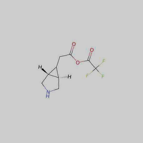 O=C(CC1[C@H]2CNC[C@H]12)OC(=O)C(F)(F)F